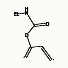 [CH]=CC(=[CH])OC(=O)NCC